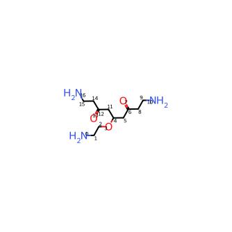 NCCOC(CC(=O)CCN)CC(=O)CCN